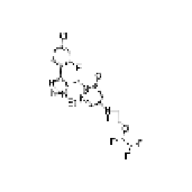 CCn1nnc(-c2ccc(Cl)cc2F)c1Cn1ncc(N2CC(OC(F)C(F)F)C2)cc1=O